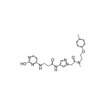 Cc1ccc(OCCN(C)C(=O)Cn2cc(NC(=O)CCNc3ccnc(O)n3)cn2)cc1